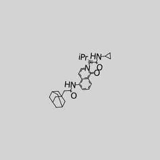 CC(C)[C@H](C(=O)NC1CC1)n1ccc2c(NC(=O)CC34CC5CC(CC(C5)C3)C4)cccc2c1=O